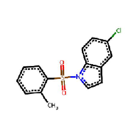 Cc1ccccc1S(=O)(=O)n1ccc2cc(Cl)ccc21